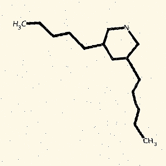 CCCCCC1C[N]CC(CCCCC)C1